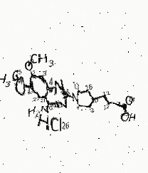 COc1cc2nc(N3CCC(CCC(=O)O)CC3)nc(N)c2cc1OC.Cl